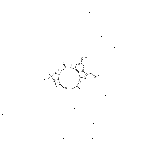 COCOc1cc(OC)cc2c1C(=O)O[C@@H](C)C/C=C\C(C)[C@H]1OC(C)(C)O[C@H]1CC(=O)N2